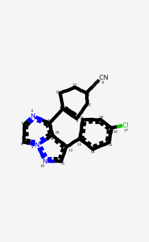 N#CC1CC=C(c2nccn3ncc(-c4ccc(Cl)cc4)c23)CC1